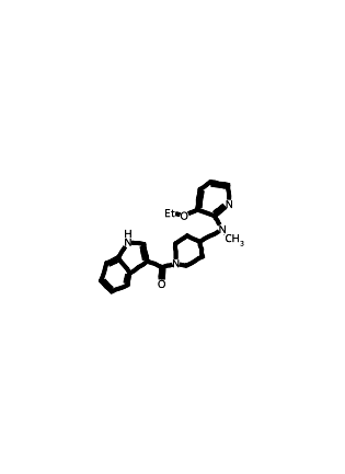 CCOc1cccnc1N(C)C1CCN(C(=O)c2c[nH]c3ccccc23)CC1